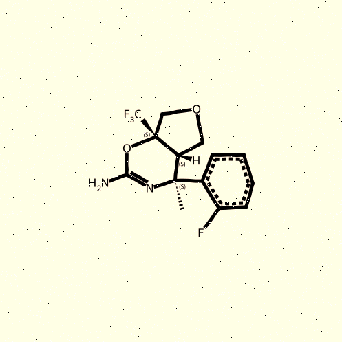 C[C@]1(c2ccccc2F)N=C(N)O[C@]2(C(F)(F)F)COC[C@H]12